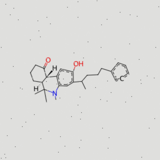 CC(CCCc1ccccc1)c1cc2c(cc1O)[C@H]1C(=O)CCC[C@@H]1C(C)(C)N2C